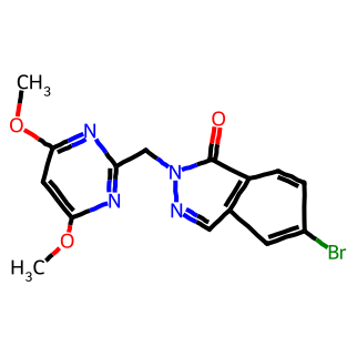 COc1cc(OC)nc(Cn2ncc3cc(Br)ccc3c2=O)n1